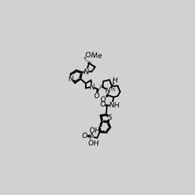 COC[C@@H]1CCN1c1ccncc1C1CN(C(=O)[C@@H]2CC[C@@H]3CCCC(NC(=O)c4cc5cc(CP(=O)(O)O)ccc5s4)C(=O)N32)C1